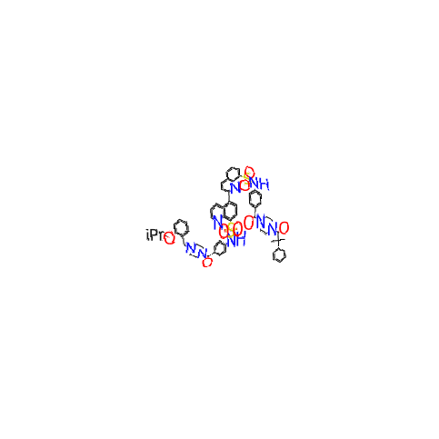 CC(C)Oc1ccccc1CN1CCN(C(=O)c2ccc(NS(=O)(=O)c3ccc(-c4ccc5cccc(S(=O)(=O)Nc6ccc(C(=O)N7CCN(C(=O)C(C)(C)c8ccccc8)CC7)cc6)c5n4)c4cccnc34)cc2)CC1